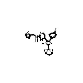 Fc1ccc(-c2nc(C3OCCCO3)[nH]c2-c2ccnc(NCc3cccs3)n2)cc1